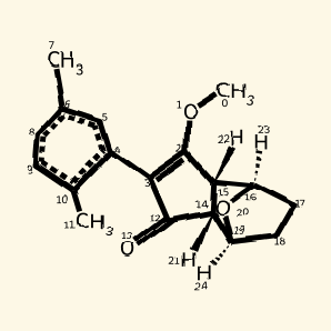 COC1=C(c2cc(C)ccc2C)C(=O)[C@@H]2[C@H]1[C@H]1CC[C@@H]2O1